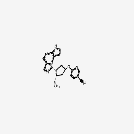 CC[C@H]1C[C@H](Oc2ccc(C#N)cn2)C[C@H]1c1nnc2cnc3[nH]ccc3n12